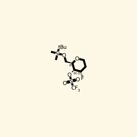 CC(C)(C)[Si](C)(C)OC[C@H]1OCC[C@H](F)[C@@H]1OS(=O)(=O)C(F)(F)F